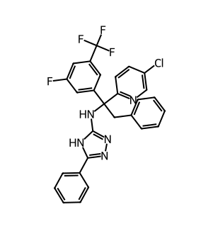 Fc1cc(C(F)(F)F)cc(C(Cc2ccccc2)(Nc2nnc(-c3ccccc3)[nH]2)c2ccc(Cl)cn2)c1